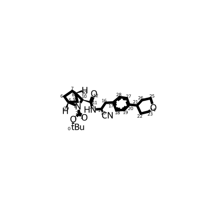 CC(C)(C)OC(=O)N1[C@@H]2CC[C@@H](C2)[C@H]1C(=O)N[C@H](C#N)Cc1ccc(C2CCOCC2)cc1